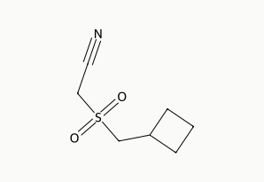 N#CCS(=O)(=O)CC1CCC1